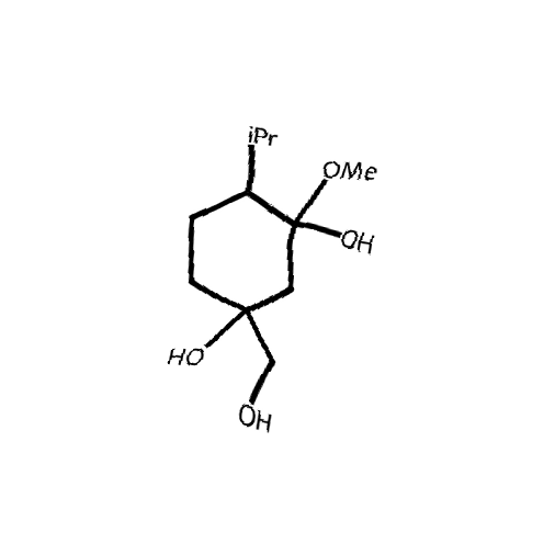 COC1(O)CC(O)(CO)CCC1C(C)C